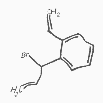 C=Cc1ccccc1C(Br)C=C